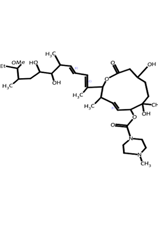 CCC(OC)C(C)CC(O)C(O)C(C)/C=C/C=C(\C)C1OC(=O)CC(O)CCC(C)(O)C(OC(=O)N2CCN(C)CC2)/C=C/C1C